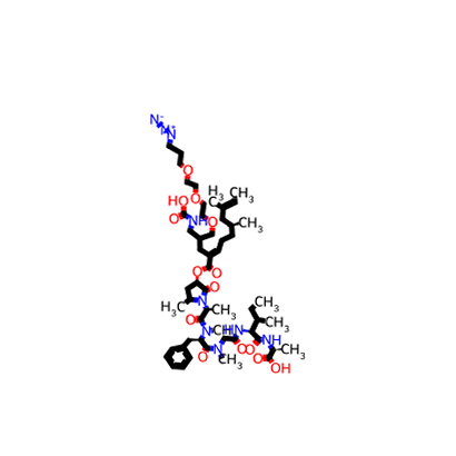 C/C=C(\C)C[C@@H](C)CC/C=C(\CC(CNC(=O)O)COCCOCCOCCCN=[N+]=[N-])C(=O)O[C@@H]1CC(C)N([C@@H](C)C(=O)N(C)[C@H](Cc2ccccc2)C(=O)N(C)CC(=O)N[C@H](C(=O)N[C@H](C)C(=O)O)C(C)CC)C1=O